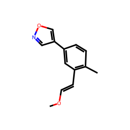 COC=Cc1cc(-c2cnoc2)ccc1C